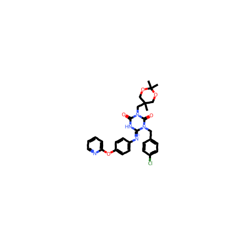 CC1(Cn2c(=O)[nH]/c(=N\c3ccc(Oc4ccccn4)cc3)n(Cc3ccc(Cl)cc3)c2=O)COC(C)(C)OC1